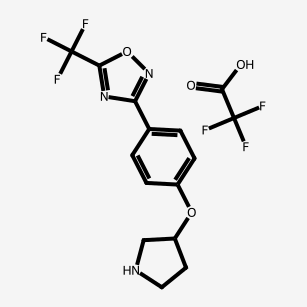 FC(F)(F)c1nc(-c2ccc(OC3CCNC3)cc2)no1.O=C(O)C(F)(F)F